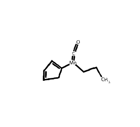 CC[CH2][Mn](=[C]=O)[C]1=CC=CC1